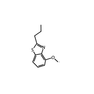 [CH2]Oc1cccc2sc(CCC)nc12